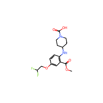 COC(=O)c1cc(OCC(F)F)ccc1NC1CCN(C(=O)O)CC1